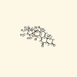 C[C@H]1[C@@H](O)[C@@]2(O[C@H]3CC[C@H]([C@@H]2C)[C@@]2(C)CC=C4C(=CC(=O)C5=CC(=O)CC[C@@]54C)C32)OC1(C)C